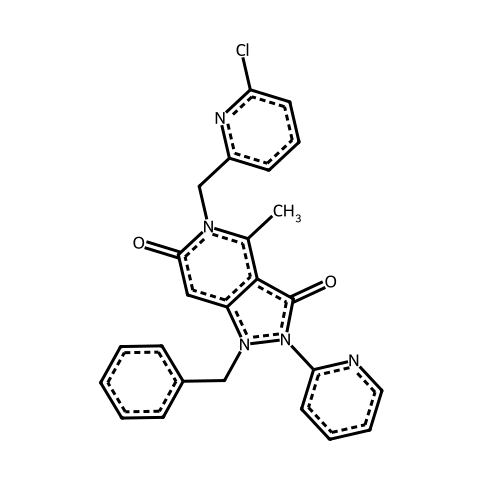 Cc1c2c(=O)n(-c3ccccn3)n(Cc3ccccc3)c2cc(=O)n1Cc1cccc(Cl)n1